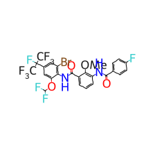 COc1c(NC(=O)c2ccc(F)cc2)cccc1C(=O)Nc1c(Br)cc(C(F)(C(F)(F)F)C(F)(F)F)cc1OC(F)F